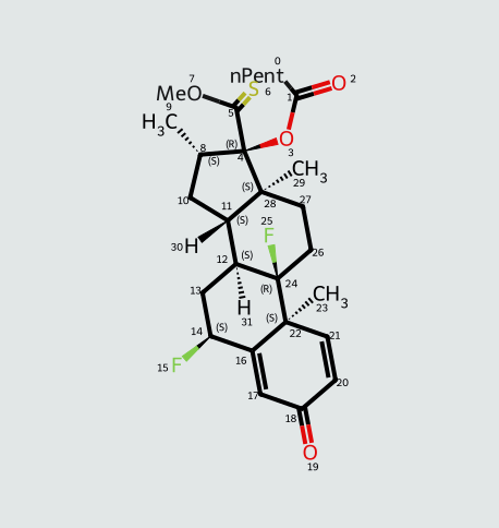 CCCCCC(=O)O[C@]1(C(=S)OC)[C@@H](C)C[C@H]2[C@@H]3C[C@H](F)C4=CC(=O)C=C[C@]4(C)[C@@]3(F)CC[C@@]21C